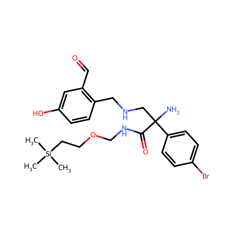 C[Si](C)(C)CCOCNC(=O)C(N)(CNCc1ccc(O)cc1C=O)c1ccc(Br)cc1